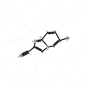 N#Cc1cn2cc(Br)ccc2n1